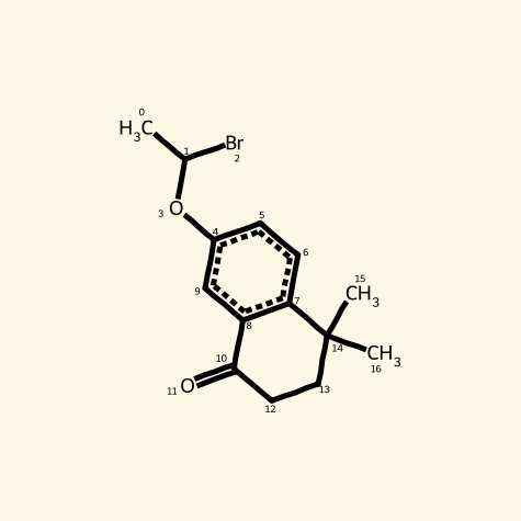 CC(Br)Oc1ccc2c(c1)C(=O)CCC2(C)C